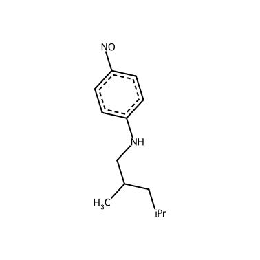 CC(C)CC(C)CNc1ccc(N=O)cc1